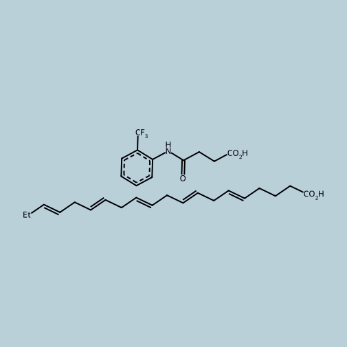 CCC=CCC=CCC=CCC=CCC=CCCCC(=O)O.O=C(O)CCC(=O)Nc1ccccc1C(F)(F)F